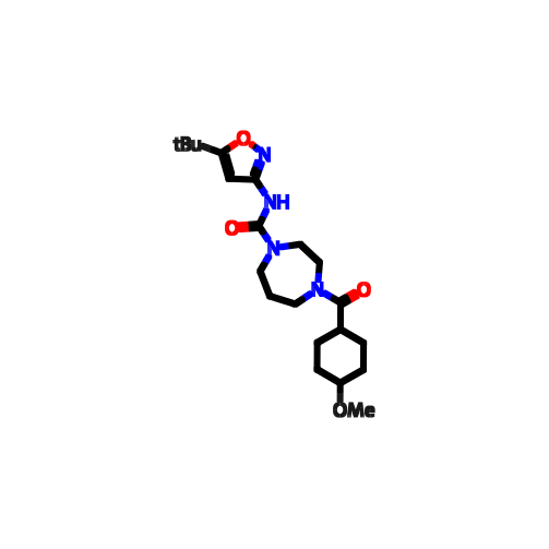 COC1CCC(C(=O)N2CCCN(C(=O)Nc3cc(C(C)(C)C)on3)CC2)CC1